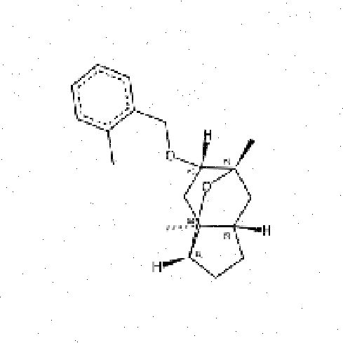 Cc1ccccc1CO[C@H]1C[C@@]2(C)[C@H]3CC[C@@H]2O[C@@]1(C)C3